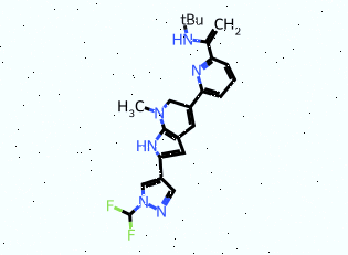 C=C(NC(C)(C)C)c1cccc(C2=Cc3cc(-c4cnn(C(F)F)c4)[nH]c3N(C)C2)n1